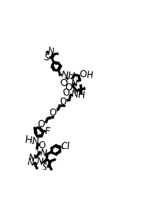 Cc1ncsc1-c1ccc(CNC(=O)[C@@H]2C[C@@H](O)CN2C(=O)[C@@H](NC(=O)COCCCOCCCOc2ccc(NC(=O)C[C@@H]3N=C(c4ccc(Cl)cc4)c4c(sc(C)c4C)-n4c(C)nnc43)cc2F)C(C)(C)C)cc1